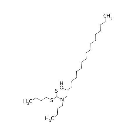 CCCCCCCCCCCCCCCCC(O)CN(CCCC)C(=S)SCCCC